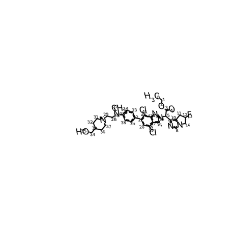 CCOC(=O)C(c1ncn2c1CC(F)C2)n1cc2c(Cl)cc(-c3ccc(N(C)CCN4CCC(CO)CC4)cc3)c(Cl)c2n1